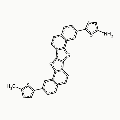 Cc1ccc(-c2ccc3ccc4c(sc5c6ccc7ccc(-c8ccc(N)s8)cc7c6sc45)c3c2)s1